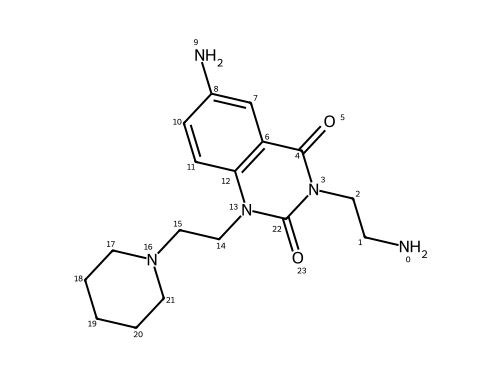 NCCn1c(=O)c2cc(N)ccc2n(CCN2CCCCC2)c1=O